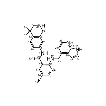 CC1(C)CNCc2cc(NC(=O)c3cc(F)cnc3NCc3ccnc4[nH]ncc34)ccc21